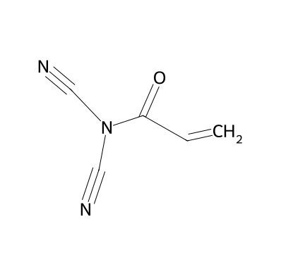 C=CC(=O)N(C#N)C#N